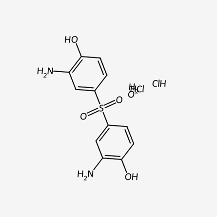 Cl.Cl.Nc1cc(S(=O)(=O)c2ccc(O)c(N)c2)ccc1O.O